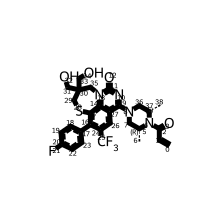 C=CC(=O)N1[C@H](C)CN(c2nc(=O)n3c4c(c(-c5ccc(F)cc5)c(C(F)(F)F)cc24)SCC(CO)(CO)C3)C[C@@H]1C